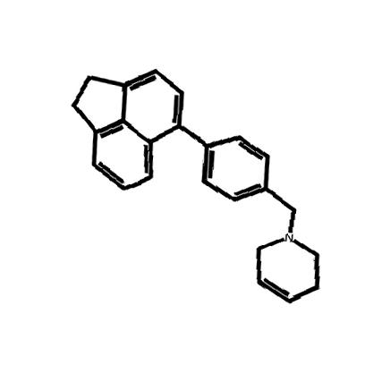 C1=CCN(Cc2ccc(-c3ccc4c5c(cccc35)CC4)cc2)CC1